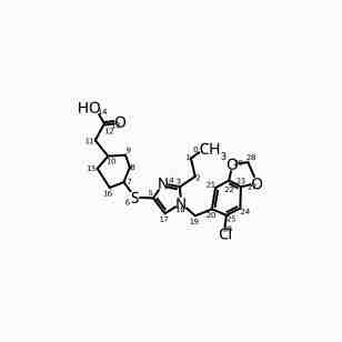 CCCc1nc(SC2CCC(CC(=O)O)CC2)cn1Cc1cc2c(cc1Cl)OCO2